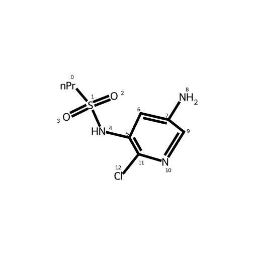 CCCS(=O)(=O)Nc1cc(N)cnc1Cl